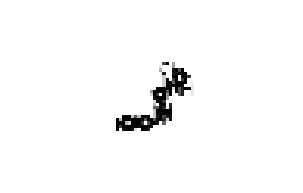 Clc1cccc2[nH]c(-c3cccc(-c4nnn(CC5CCN(c6ccncc6)CC5)n4)c3)nc12